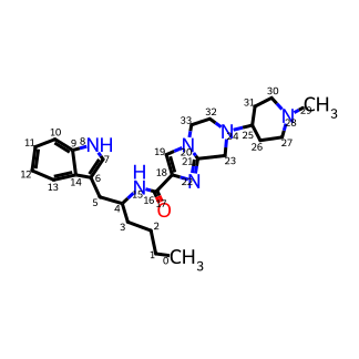 CCCCC(Cc1c[nH]c2ccccc12)NC(=O)c1cn2c(n1)CN(C1CCN(C)CC1)CC2